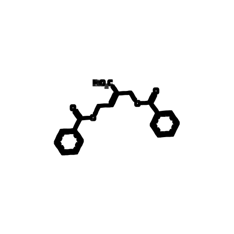 CCOC(=O)/C(=C\COC(=O)c1ccccc1)COC(=O)c1ccccc1